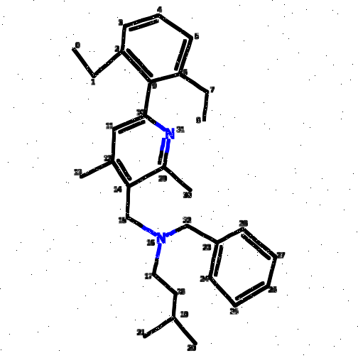 CCc1cccc(CC)c1-c1cc(C)c(CN(CCC(C)C)Cc2ccccc2)c(C)n1